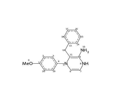 COc1ccc(N2C=CNC(N)=C2Cc2ccccc2)cc1